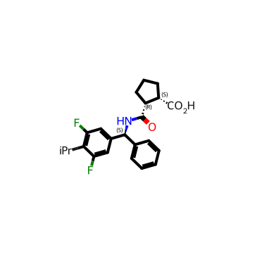 CC(C)c1c(F)cc([C@@H](NC(=O)[C@@H]2CCC[C@@H]2C(=O)O)c2ccccc2)cc1F